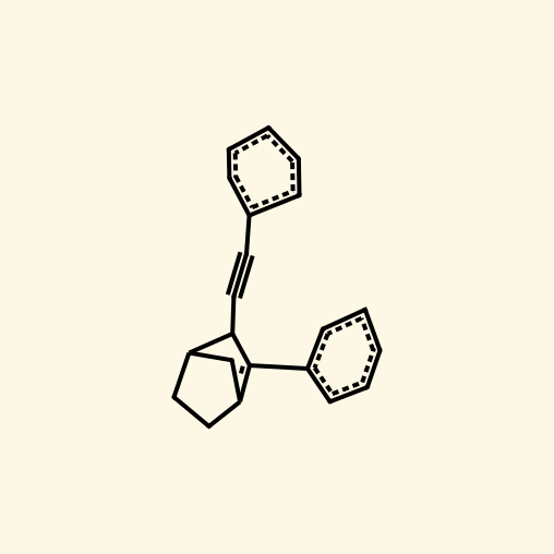 C(#CC1C(c2ccccc2)=C2CCC1C2)c1ccccc1